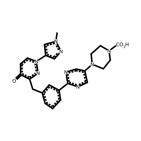 Cn1cc(-n2ccc(=O)c(Cc3cccc(-c4ncc(N5CCN(C(=O)O)CC5)cn4)c3)n2)cn1